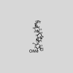 COc1cc(C)c(-c2cn3ccc(N4CCN(SC(C)C)CC4)cc3n2)cc1Cl